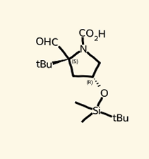 CC(C)(C)[C@]1(C=O)C[C@@H](O[Si](C)(C)C(C)(C)C)CN1C(=O)O